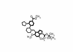 COC(=O)c1ccc(C2CCCCN2Cc2c(OC)cc(C)c3c2ccn3C(=O)OC(C)(C)C)c(N2CCCC2)c1